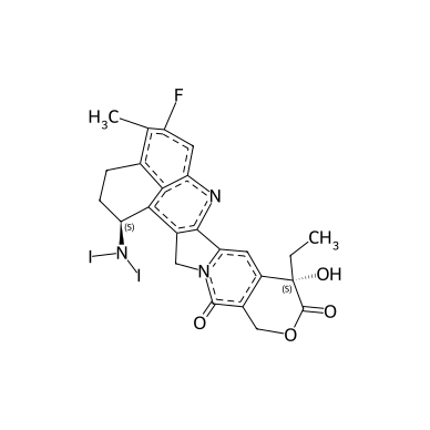 CC[C@@]1(O)C(=O)OCc2c1cc1n(c2=O)Cc2c-1nc1cc(F)c(C)c3c1c2[C@@H](N(I)I)CC3